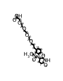 Cn1c(=O)n(C2CCC(=O)NC2=O)c2cccc(CCCOCCOCCOCCOCC(=O)O)c21